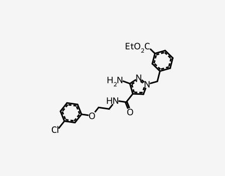 CCOC(=O)c1cccc(Cn2cc(C(=O)NCCOc3cccc(Cl)c3)c(N)n2)c1